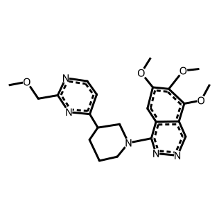 COCc1nccc(C2CCCN(c3nncc4c(OC)c(OC)c(OC)cc34)C2)n1